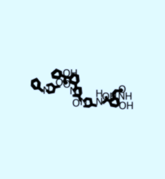 O=C(c1ccc(-c2cccc(C(O)(C(=O)OCC3CCN(Cc4ccccc4)CC3)c3ccccc3)c2)nc1)N1CCC(CNCC(O)c2ccc(O)c3[nH]c(=O)ccc23)CC1